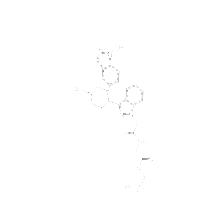 CC(=O)N1CCC(c2nn(CC(=O)NCC(=O)NCC(=O)O)c3cccc(-c4cc5c(cnn5C)cc4F)c23)CC1